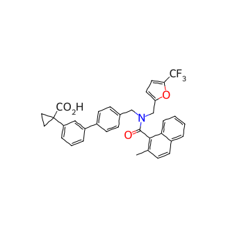 Cc1ccc2ccccc2c1C(=O)N(Cc1ccc(-c2cccc(C3(C(=O)O)CC3)c2)cc1)Cc1ccc(C(F)(F)F)o1